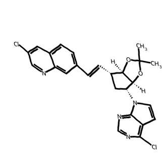 CC1(C)O[C@@H]2[C@H](O1)[C@@H](/C=C/c1ccc3cc(Cl)cnc3c1)C[C@H]2n1ccc2c(Cl)ncnc21